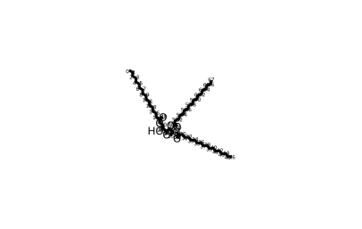 CCCCCCCCCCCCCCCCCC(=O)OC[C@@H](O)C1OC[C@H](OC(=O)CCCCCCCCCCCCCCCCC)[C@H]1OC(=O)CCCCCCCCCCCCCCCCC